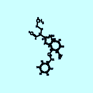 CCCC(C=O)n1cc2c(OCc3ccccc3)c(Br)ccc2n1